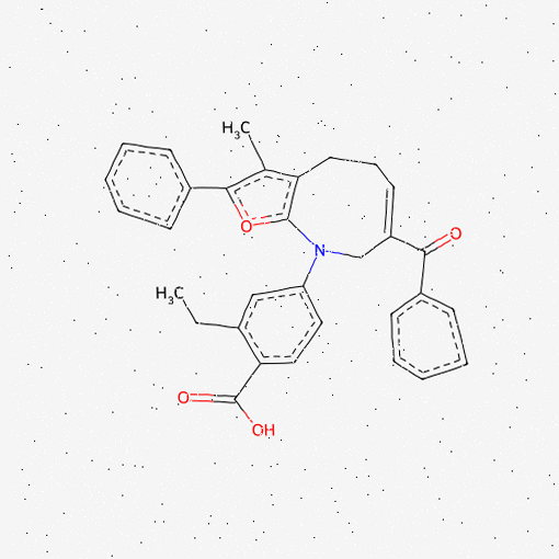 CCc1cc(N2CC(C(=O)c3ccccc3)=CCCc3c2oc(-c2ccccc2)c3C)ccc1C(=O)O